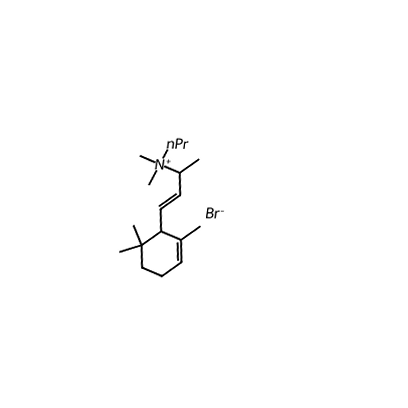 CCC[N+](C)(C)C(C)C=CC1C(C)=CCCC1(C)C.[Br-]